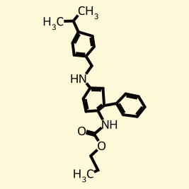 CCCOC(=O)Nc1ccc(NCc2ccc(C(C)C)cc2)cc1-c1ccccc1